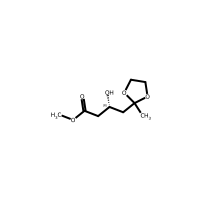 COC(=O)C[C@H](O)CC1(C)OCCO1